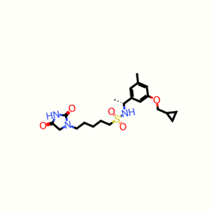 Cc1cc(OCC2CC2)cc([C@@H](C)NS(=O)(=O)CCCCCN2CC(=O)NC2=O)c1